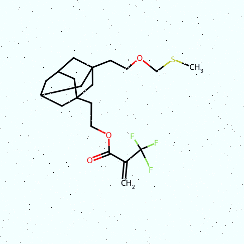 C=C(C(=O)OCCC12CC3CC(CC(CCOCSC)(C3)C1)C2)C(F)(F)F